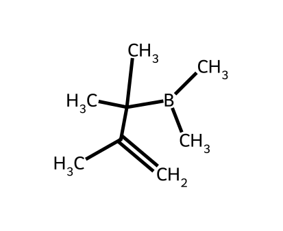 C=C(C)C(C)(C)B(C)C